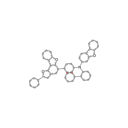 c1ccc(-c2cc3cc(-c4ccc(N(c5ccc6c(c5)oc5ccccc56)c5ccccc5-c5ccccc5)cc4)c4oc5ccccc5c4c3o2)cc1